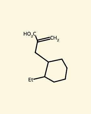 C=C(CC1CCCCC1CC)C(=O)O